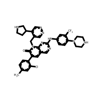 Cc1ccc(-c2cc3cnc(Nc4ccc(N5CCNCC5)c(C(F)(F)F)c4)nc3n(Cc3cnncc3C3CCNC3)c2=O)c(Cl)c1